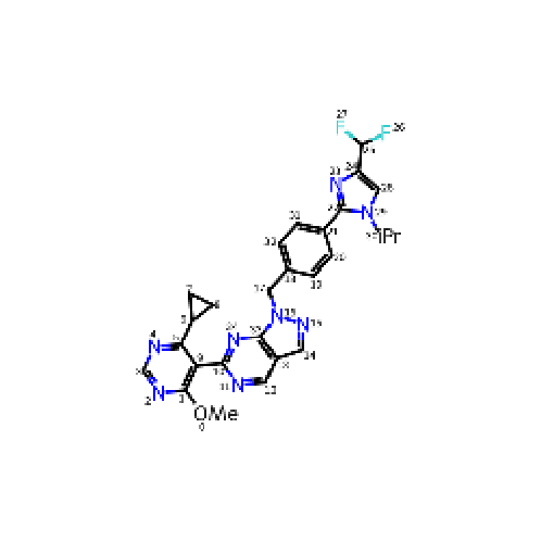 COc1ncnc(C2CC2)c1-c1ncc2cnn(Cc3ccc(-c4nc(C(F)F)cn4C(C)C)cc3)c2n1